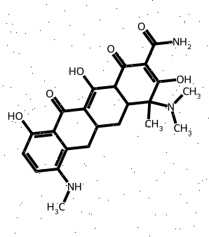 CNc1ccc(O)c2c1CC1CC3C(C(=O)C(C(N)=O)=C(O)C3(C)N(C)C)C(O)=C1C2=O